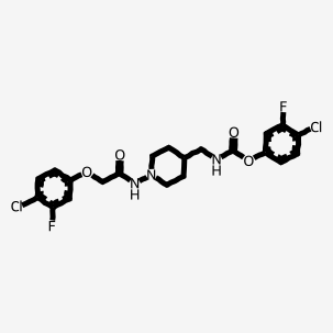 O=C(COc1ccc(Cl)c(F)c1)NN1CCC(CNC(=O)Oc2ccc(Cl)c(F)c2)CC1